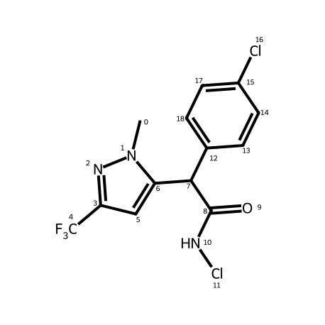 Cn1nc(C(F)(F)F)cc1C(C(=O)NCl)c1ccc(Cl)cc1